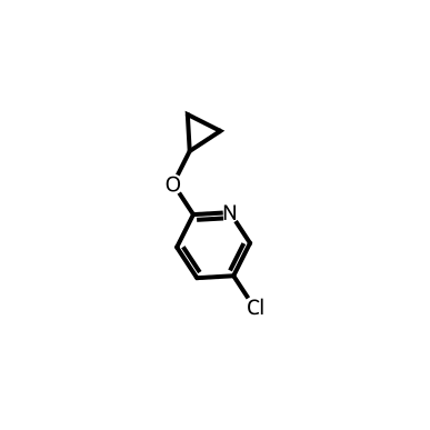 Clc1ccc(OC2CC2)nc1